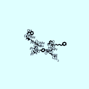 CC[C@H](C)[C@@H]([C@@H](CC(=O)NCCC[C@@H]1C[C@@]1(OC)[C@@H](C)C(=O)N[C@H](C)[C@@H](O)c1ccccc1)OC)N(C)C(=O)[C@@H](NC(=O)[C@H](C(C)C)N(C)C(=O)OCc1ccc(NC(=O)[C@H](CCCNC(N)=O)NC(=O)[C@@H](NC(=O)[C@@](C)(CN(C)CCCCc2ccccc2)N2C(=O)C=CC2=O)C(C)C)cc1)C(C)C